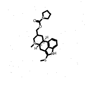 CSc1[nH]c2cccc3c2c1C[C@H]1[C@H]3CC(COC(=O)N2CCCC2)CN1C